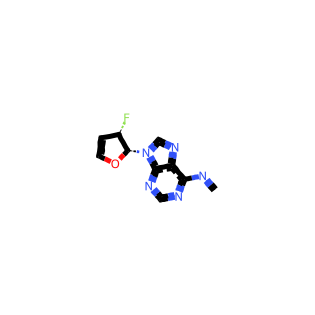 C=Nc1ncnc2c1ncn2[C@@H]1OC=C[C@@H]1F